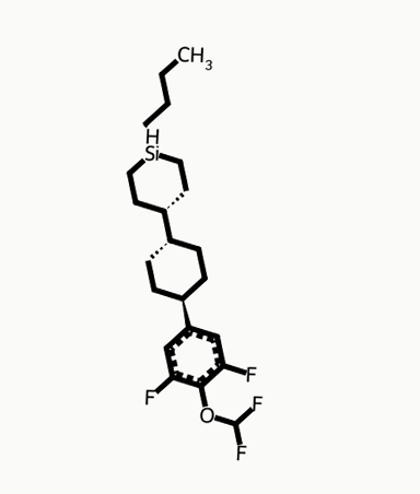 CCCC[Si@H]1CC[C@H]([C@H]2CC[C@H](c3cc(F)c(OC(F)F)c(F)c3)CC2)CC1